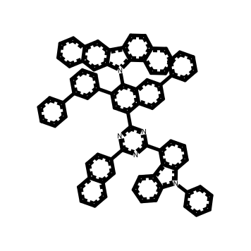 c1ccc(-c2cccc(-c3cc(-c4nc(-c5ccc6ccccc6c5)nc(-c5cccc6c5c5ccccc5n6-c5ccccc5)n4)c4ccc(-c5ccccc5)cc4c3-n3c4cc5ccccc5cc4c4ccc5ccccc5c43)c2)cc1